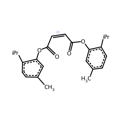 Cc1ccc(C(C)C)c(OC(=O)/C=C\C(=O)Oc2cc(C)ccc2C(C)C)c1